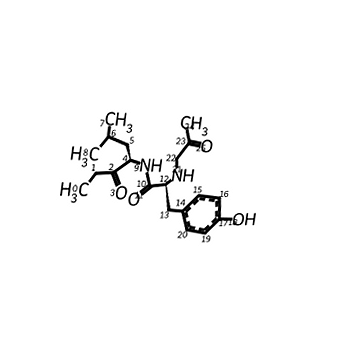 CCC(=O)[C@@H](CC(C)C)NC(=O)[C@H](Cc1ccc(O)cc1)NCC(C)=O